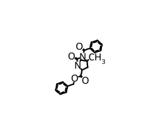 CC12CC(C(=O)OCc3ccccc3)N(C1)C(=O)N2C(=O)c1ccccc1